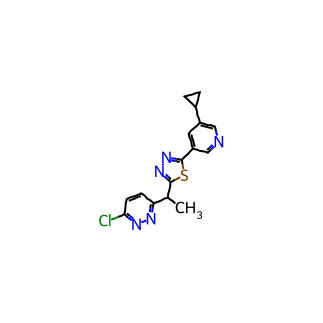 CC(c1ccc(Cl)nn1)c1nnc(-c2cncc(C3CC3)c2)s1